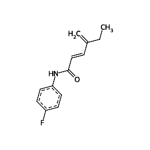 C=C(C=CC(=O)Nc1ccc(F)cc1)CC